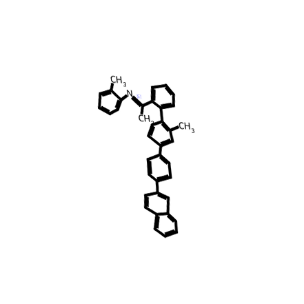 C/C(=N\c1ccccc1C)c1ccccc1-c1ccc(-c2ccc(-c3ccc4ccccc4c3)cc2)cc1C